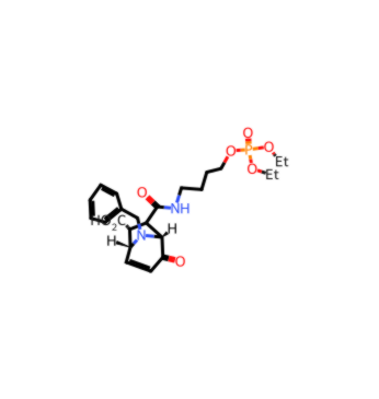 CCOP(=O)(OCC)OCCCCNC(=O)C1C(C(=O)O)[C@H]2C=CC(=O)[C@@H]1N2Cc1ccccc1